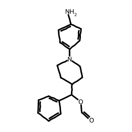 Nc1ccc(N2CCC(C(OC=O)c3ccccc3)CC2)cc1